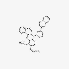 C/C=C\c1ccc2c(-c3cccc(-c4ccc5ccccc5c4)c3)c3ccc4ccccc4c3nc2c1CC